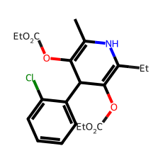 CCOC(=O)OC1=C(C)NC(CC)=C(OC(=O)OCC)C1c1ccccc1Cl